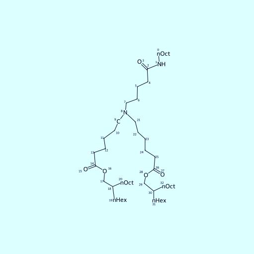 CCCCCCCCNC(=O)CCCCN(CCCCCC(=O)OCC(CCCCCC)CCCCCCCC)CCCCCC(=O)OCC(CCCCCC)CCCCCCCC